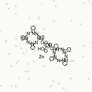 O=C(CC(O)(CC(=O)Oc1cccc2c3nc4nc(nc5[nH]c(nc6nc(nc([nH]3)c12)-c1ccccc1-6)c1ccccc51)-c1ccccc1-4)C(=O)O)Oc1cccc2c3nc4nc(nc5[nH]c(nc6nc(nc([nH]3)c12)-c1ccccc1-6)c1ccccc51)-c1ccccc1-4.[Zn]